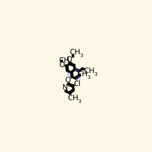 C\C=C/C(Oc1ncc(C)cc1Cl)=c1/cc(OC)c(OCC)c/c1=C\CC